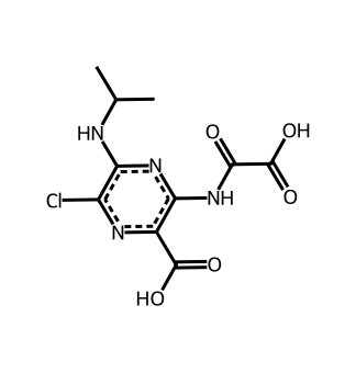 CC(C)Nc1nc(NC(=O)C(=O)O)c(C(=O)O)nc1Cl